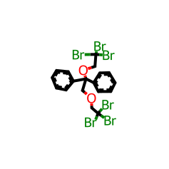 BrC(Br)(Br)COCC(OCC(Br)(Br)Br)(c1ccccc1)c1ccccc1